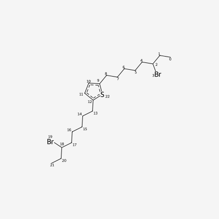 CCC(Br)CCCCCc1ccc(CCCCCC(Br)CC)s1